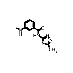 Cc1nnc(NC(=O)c2cccc(NI)c2)s1